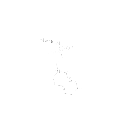 [N-]=[N+]=NS(=O)(=O)CCN1CCc2ccccc2C1